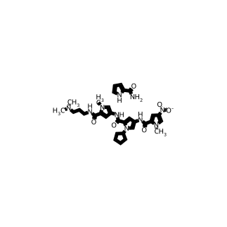 CN(C)CCCNC(=O)c1cc(NC(=O)c2cc(NC(=O)c3cc([N+](=O)[O-])cn3C)cn2C2CCCC2)cn1C.NC(=O)c1ccc[nH]1